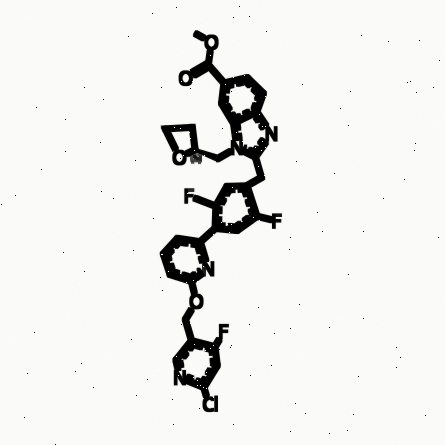 COC(=O)c1ccc2nc(Cc3cc(F)c(-c4cccc(OCc5cnc(Cl)cc5F)n4)cc3F)n(C[C@@H]3CCO3)c2c1